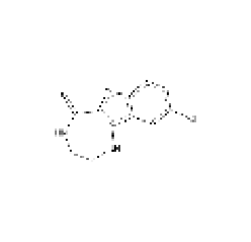 O=C1NCCNc2c1oc1ccc(Cl)cc21